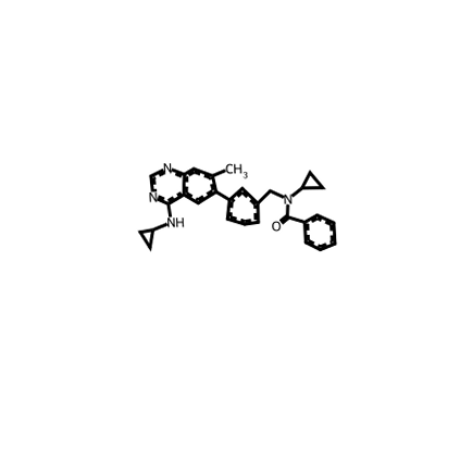 Cc1cc2ncnc(NC3CC3)c2cc1-c1cccc(CN(C(=O)c2ccccc2)C2CC2)c1